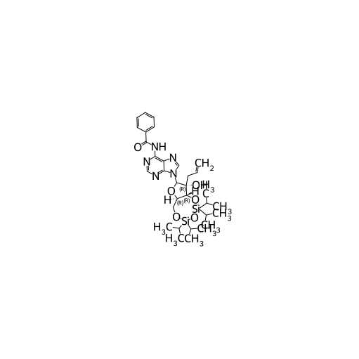 C=CC[C@]1(O)C(n2cnc3c(NC(=O)c4ccccc4)ncnc32)O[C@@H]2CO[Si](C(C)C)(C(C)C)O[Si](C(C)C)(C(C)C)O[C@H]21